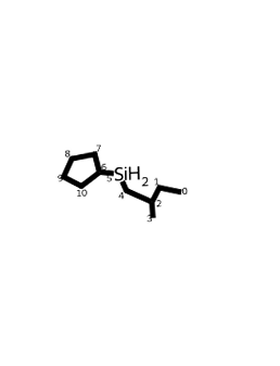 CCC(C)C[SiH2]C1CCCC1